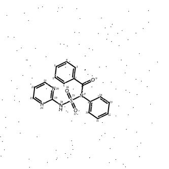 O=C(c1ccccc1)N(c1ccccc1)S(=O)(=O)Nc1ncccn1